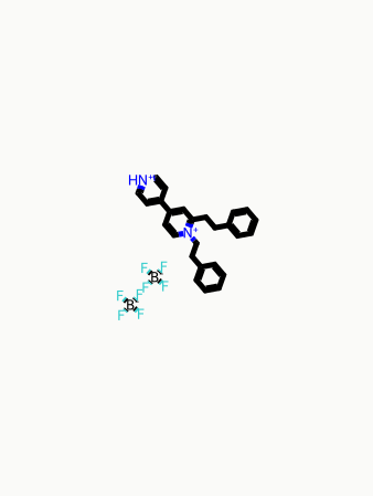 F[B-](F)(F)F.F[B-](F)(F)F.c1ccc(CCc2cc(-c3cc[nH+]cc3)cc[n+]2CCc2ccccc2)cc1